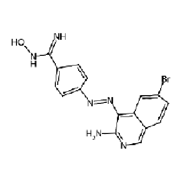 N=C(NO)c1ccc(/N=N/c2c(N)ncc3ccc(Br)cc23)cc1